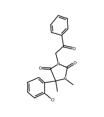 CN1C(=O)N(CC(=O)c2ccccc2)C(=O)C1(C)c1ccccc1Cl